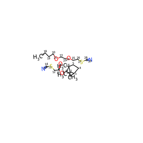 CC1(C)C2CCC1(C)C(OC(=O)CSC#N)C2.CCCCOCCOCCSC#N